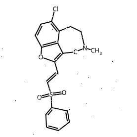 CN1CCc2c(Cl)ccc3oc(/C=C/S(=O)(=O)c4ccccc4)c(c23)C1